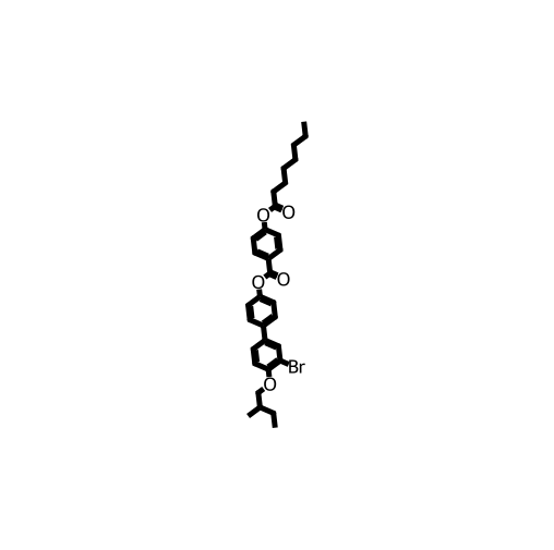 CCCCCCCC(=O)Oc1ccc(C(=O)Oc2ccc(-c3ccc(OCC(C)CC)c(Br)c3)cc2)cc1